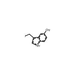 Oc1ccc2[nH]cc(CI)c2c1